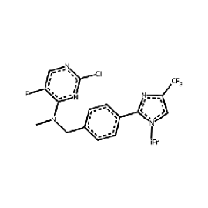 CC(C)n1cc(C(F)(F)F)nc1-c1ccc(CN(C)c2nc(Cl)ncc2F)cc1